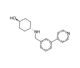 O[C@H]1CC[C@H](NCc2cccc(-c3ccncc3)c2)CC1